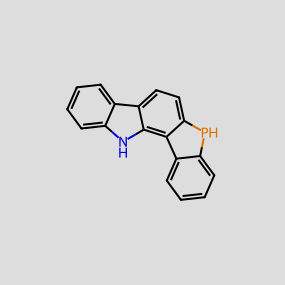 c1ccc2c(c1)[nH]c1c2ccc2[pH]c3ccccc3c21